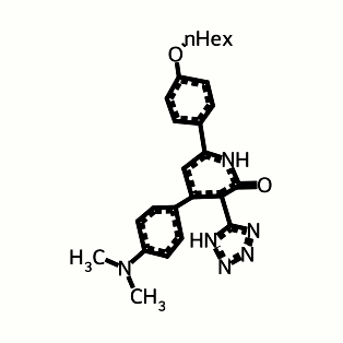 CCCCCCOc1ccc(-c2cc(-c3ccc(N(C)C)cc3)c(-c3nnn[nH]3)c(=O)[nH]2)cc1